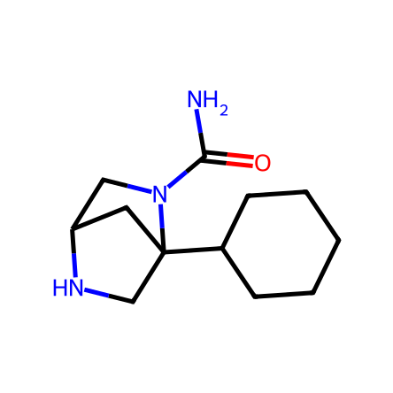 NC(=O)N1CC2CC1(C1CCCCC1)CN2